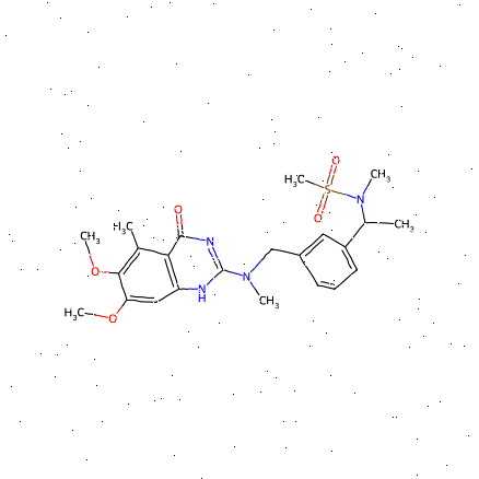 COc1cc2[nH]c(N(C)Cc3cccc(C(C)N(C)S(C)(=O)=O)c3)nc(=O)c2c(C)c1OC